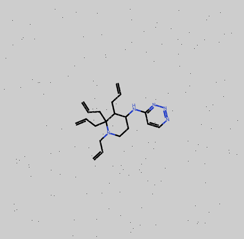 C=CCC1C(Nc2ccnnn2)CCN(CC=C)C1(CC=C)CC=C